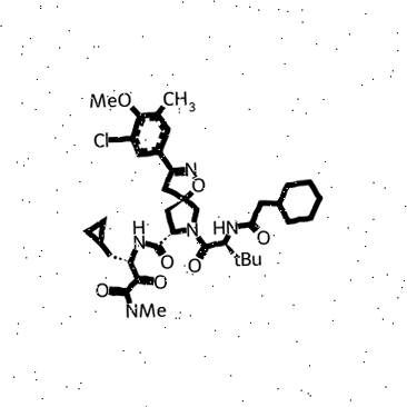 CNC(=O)C(=O)[C@H](CC1CC1)NC(=O)[C@@H]1C[C@]2(CC(c3cc(C)c(OC)c(Cl)c3)=NO2)CN1C(=O)[C@@H](NC(=O)CC1CCCCC1)C(C)(C)C